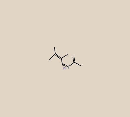 C=C(C)/N=C\C(C)=C(C)C